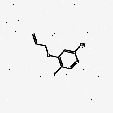 C=CCOc1cc(C#N)ncc1I